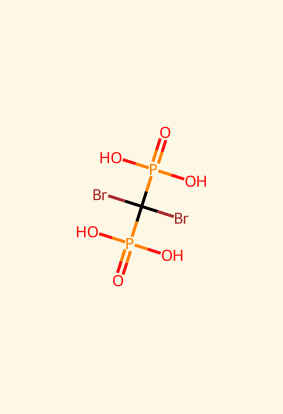 O=P(O)(O)C(Br)(Br)P(=O)(O)O